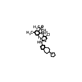 Cc1cc(F)c(Nc2nc(Nc3ccc4c(c3)CCC(N3CCCC3)CC4)ncc2Cl)c(P(C)(C)=O)c1